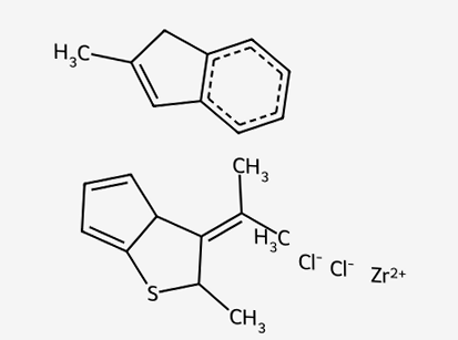 CC(C)=C1C(C)SC2=CC=CC21.CC1=Cc2ccccc2C1.[Cl-].[Cl-].[Zr+2]